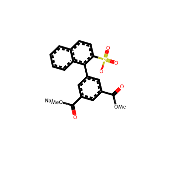 COC(=O)c1cc(C(=O)OC)cc(-c2c(S(=O)(=O)[O-])ccc3ccccc23)c1.[Na+]